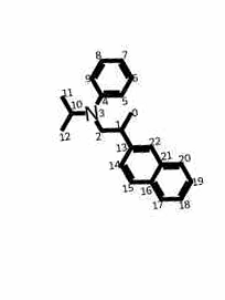 CC(CN(c1ccccc1)C(C)C)c1ccc2ccccc2c1